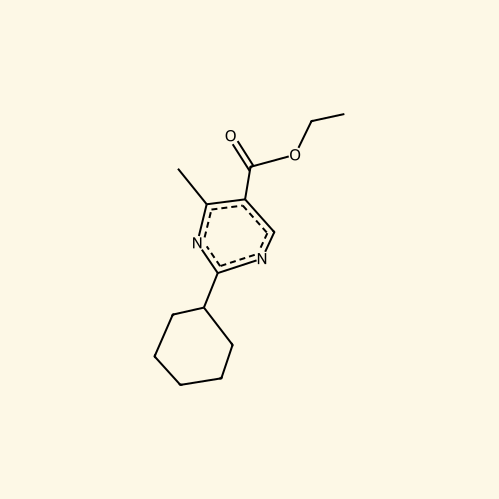 CCOC(=O)c1cnc(C2CCCCC2)nc1C